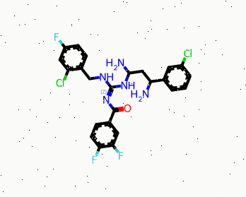 NC(CC(N)c1cccc(Cl)c1)N/C(=N\C(=O)c1ccc(F)c(F)c1)NCc1ccc(F)cc1Cl